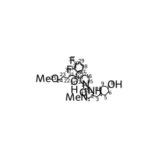 CNCC(CC1CCC(O)CC1)NC(=O)N1CCCC(C(O)(CCCCOC)c2cccc(F)c2F)C1